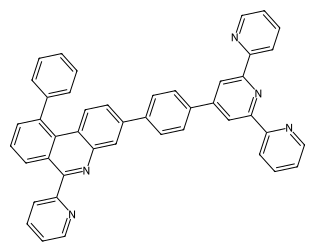 c1ccc(-c2cccc3c(-c4ccccn4)nc4cc(-c5ccc(-c6cc(-c7ccccn7)nc(-c7ccccn7)c6)cc5)ccc4c23)cc1